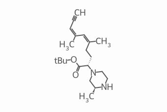 C#C/C=C(C)\C=C(\C)CC[C@@H](C(=O)OC(C)(C)C)N1CCN[C@@H](C)C1